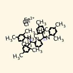 Cc1ccc(/C(=N\c2c(C)cc(C)cc2C)c2cccc(/C(=N/c3c(C)cc(C)cc3C)c3ccc(C)cc3C)n2)c(C)c1.[Cl-].[Cl-].[Fe+2]